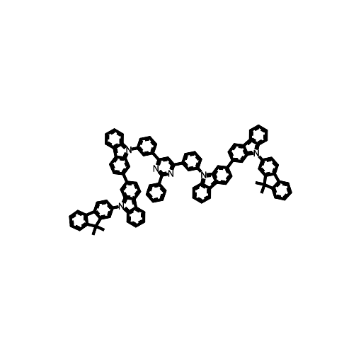 CC1(C)c2ccccc2-c2ccc(-n3c4ccccc4c4ccc(-c5ccc6c7ccccc7n(-c7cccc(-c8cc(-c9cccc(-n%10c%11ccccc%11c%11ccc(-c%12ccc%13c%14ccccc%14n(-c%14ccc%15c(c%14)C(C)(C)c%14ccccc%14-%15)c%13c%12)cc%11%10)c9)nc(-c9ccccc9)n8)c7)c6c5)cc43)cc21